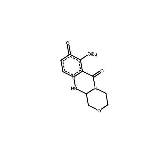 CC(C)COc1c2n(ccc1=O)NC1COCCN1C2=O